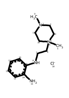 CN1CC[N+](C)(CCNc2ccccc2N)CC1.[Cl-]